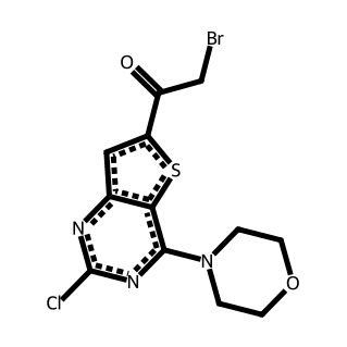 O=C(CBr)c1cc2nc(Cl)nc(N3CCOCC3)c2s1